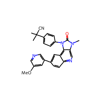 COc1cncc(-c2ccc3ncc4c(c3c2)n(-c2ccc(C(C)(C)C#N)cc2)c(=O)n4C)c1